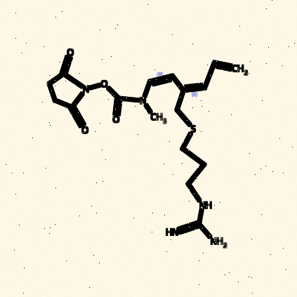 C=C/C=C(\C=C/N(C)C(=O)ON1C(=O)CCC1=O)CSCCCNC(=N)N